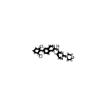 Clc1cccc(Cl)c1-c1ccc2cc(Nc3ccnc(N4CCOCC4)n3)ncc2c1